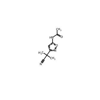 CC(=O)Nc1cc(C(C)(C)C#N)no1